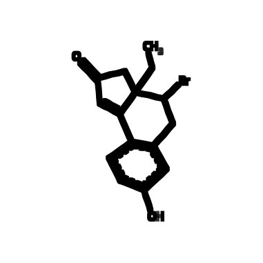 CCC12CC(=O)C=C1c1ccc(O)cc1CC2Br